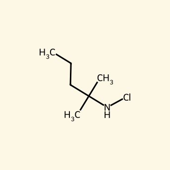 CCCC(C)(C)NCl